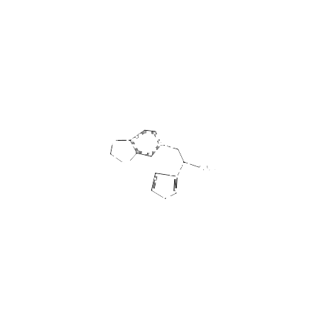 CNC(Cc1ccc2c(c1)OCO2)C1=CCC=C1